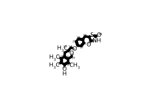 Cc1c(C)c2c(c(C)c1O)COC(C)(COc1ccc(CC3SC(=O)NC3=O)cc1)C2